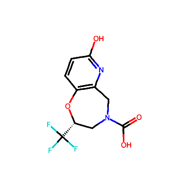 O=C(O)N1Cc2nc(O)ccc2O[C@@H](C(F)(F)F)C1